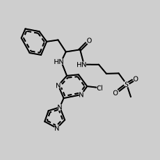 CS(=O)(=O)CCCNC(=O)C(Cc1ccccc1)Nc1cc(Cl)nc(-n2ccnc2)n1